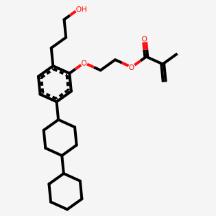 C=C(C)C(=O)OCCOc1cc(C2CCC(C3CCCCC3)CC2)ccc1CCCO